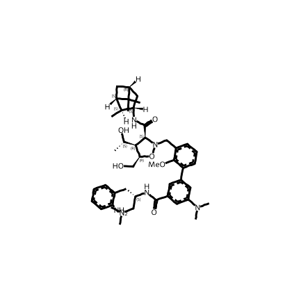 COc1c(CN2O[C@@H](CO)[C@@H]([C@H](C)O)[C@H]2C(=O)N[C@H]2C[C@H]3C[C@@H]([C@@H]2C)C3(C)C)cccc1-c1cc(C(=O)N[C@@H](Cc2ccccc2N)CN(C)C)cc(N(C)C)c1